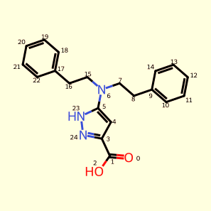 O=C(O)c1cc(N(CCc2ccccc2)CCc2ccccc2)[nH]n1